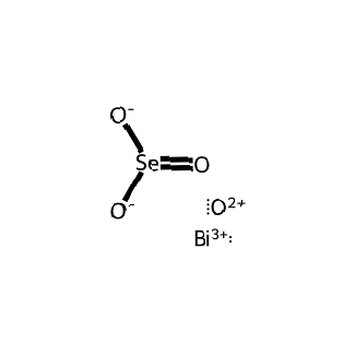 O=[Se]([O-])[O-].[Bi+3].[O+2]